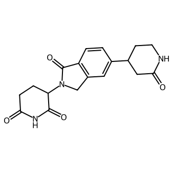 O=C1CC(c2ccc3c(c2)CN(C2CCC(=O)NC2=O)C3=O)CCN1